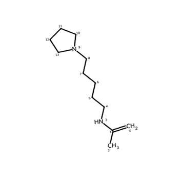 C=C(C)NCCCCCN1CCCC1